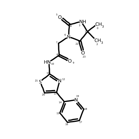 CC1(C)NC(=O)N(CC(=O)Nc2nc(-c3ccccn3)cs2)C1=O